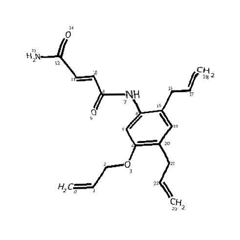 C=CCOc1cc(NC(=O)C=CC(N)=O)c(CC=C)cc1CC=C